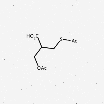 CC(=O)OCC(CSC(C)=O)C(=O)O